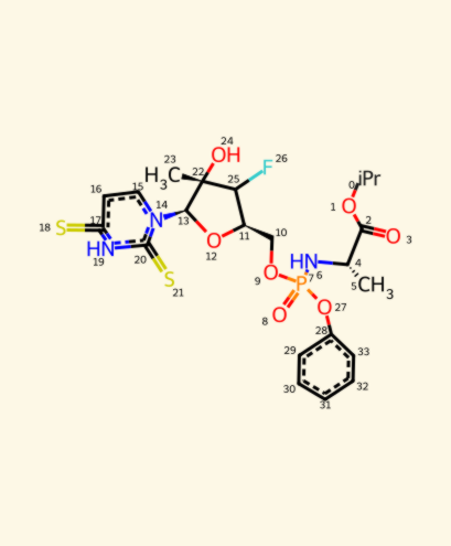 CC(C)OC(=O)[C@H](C)NP(=O)(OC[C@H]1O[C@@H](n2ccc(=S)[nH]c2=S)[C@](C)(O)C1F)Oc1ccccc1